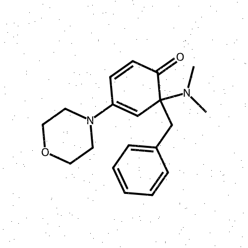 CN(C)C1(Cc2ccccc2)C=C(N2CCOCC2)C=CC1=O